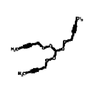 CC#CCOOC(OOCC#CC)OOCC#CC